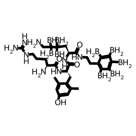 Bc1c(B)c(B)c(CCNC(=O)[C@H](CC(B)(B)C(B)(B)CN)NC(=O)[C@H](Cc2c(C)cc(O)cc2C)NC(=O)[C@H](N)CCCNC(=N)N)c(B)c1B